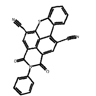 N#Cc1cc2c(=O)n(-c3ccccc3)c(=O)c3cc(C#N)c4c5ccccc5sc1c4c23